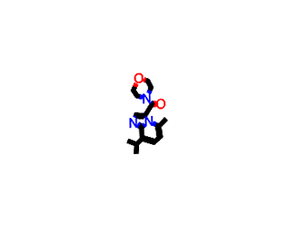 Cc1ccc(C(C)C)c2ncc(C(=O)N3CCOCC3)n12